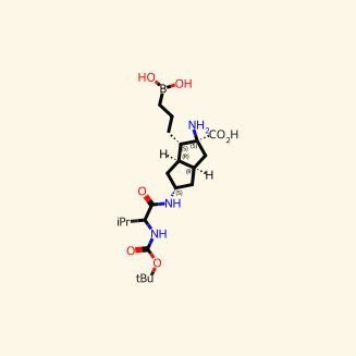 CC(C)C(NC(=O)OC(C)(C)C)C(=O)N[C@H]1C[C@@H]2C[C@@](N)(C(=O)O)[C@@H](CCCB(O)O)[C@@H]2C1